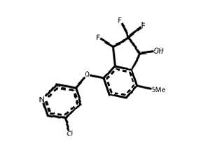 CSc1ccc(Oc2cncc(Cl)c2)c2c1C(O)C(F)(F)C2F